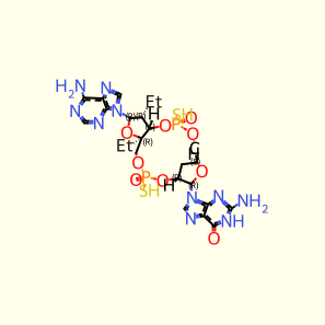 CC[C@H]1[C@H](n2cnc3c(N)ncnc32)O[C@]2(CC)COP(=O)(S)O[C@@H]3C[C@@H](COP(=O)(S)O[C@@H]12)O[C@H]3n1cnc2c(=O)[nH]c(N)nc21